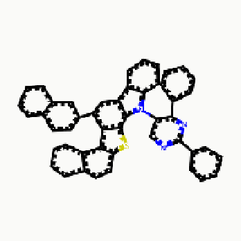 c1ccc(-c2ncc(-n3c4ccccc4c4cc(-c5ccc6ccccc6c5)c5c(sc6ccc7ccccc7c65)c43)c(-c3ccccc3)n2)cc1